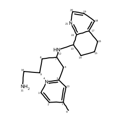 Cc1ccnc(CC(CCCN)NC2CCCc3cccnc32)c1